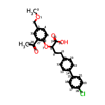 COCc1ccc(OC(CCc2ccc(-c3ccc(Cl)cc3)cc2)C(=O)O)c(C(C)=O)c1